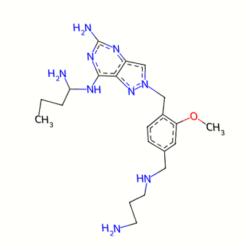 CCCC(N)Nc1nc(N)nc2cn(Cc3ccc(CNCCCN)cc3OC)nc12